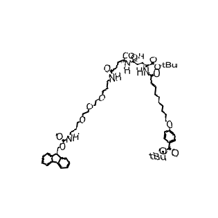 CC(C)(C)OC(=O)c1ccc(OCCCCCCCCCC(=O)N[C@@H](CCC(=O)N[C@@H](CCC(=O)NCCCOCCOCCOCCCNC(=O)OCC2c3ccccc3-c3ccccc32)C(=O)O)C(=O)OC(C)(C)C)cc1